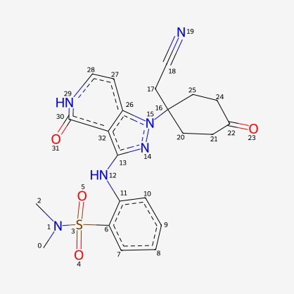 CN(C)S(=O)(=O)c1ccccc1Nc1nn(C2(CC#N)CCC(=O)CC2)c2cc[nH]c(=O)c12